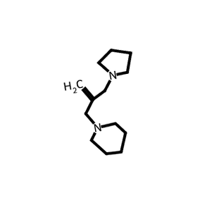 C=C(CN1CCCCC1)CN1CCCC1